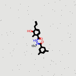 C=CCC1=CC=C(C(=O)NN(C(=O)C2C=C(C)C=C(C)C2)C(C)(C)C)C(C)C1O